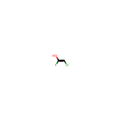 OC(F)=CCl